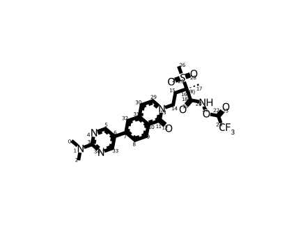 CN(C)c1ncc(-c2ccc3c(=O)n(CC[C@](C)(C(=O)NOC(=O)C(F)(F)F)S(C)(=O)=O)ccc3c2)cn1